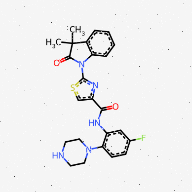 CC1(C)C(=O)N(c2nc(C(=O)Nc3cc(F)ccc3N3CCNCC3)cs2)c2ccccc21